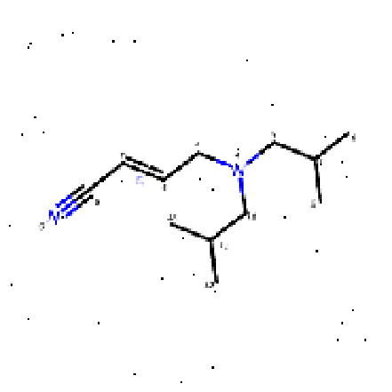 CC(C)CN(C/C=C/C#N)CC(C)C